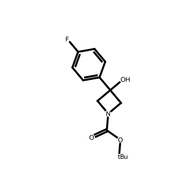 CC(C)(C)OC(=O)N1CC(O)(c2ccc(F)cc2)C1